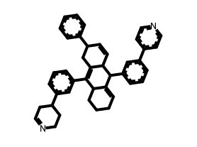 C1=CC2C(=C(c3cccc(C4CC=NCC4)c3)C3CCCC=C3C2c2cccc(-c3ccncc3)c2)CC1c1ccccc1